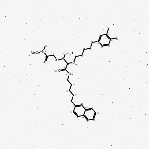 CON(C)C(=O)COC(C(=O)O)C(OCCCCCc1ccc(C)c(C)c1)C(=O)NCCCCCc1ccc2ccccc2c1